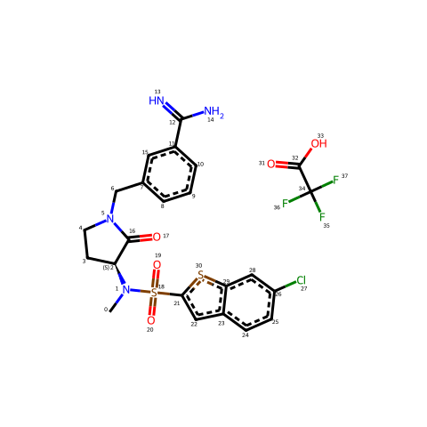 CN([C@H]1CCN(Cc2cccc(C(=N)N)c2)C1=O)S(=O)(=O)c1cc2ccc(Cl)cc2s1.O=C(O)C(F)(F)F